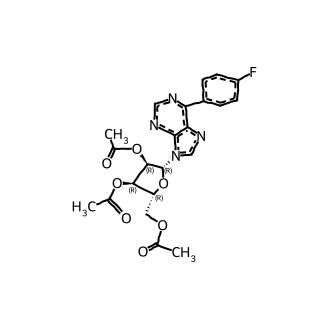 CC(=O)OC[C@H]1O[C@@H](n2cnc3c(-c4ccc(F)cc4)ncnc32)[C@H](OC(C)=O)[C@@H]1OC(C)=O